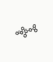 c1ccc(-c2cc(-c3ccc(-n4c5ccccc5c5ccccc54)cc3)nc(-c3ccccc3-c3cccc4c3oc3ccccc34)n2)cc1